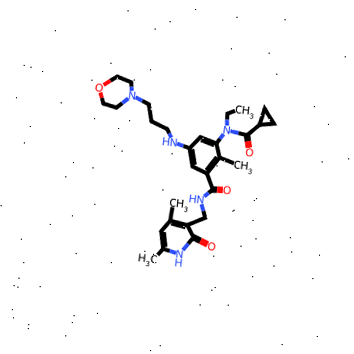 CCN(C(=O)C1CC1)c1cc(NCCCN2CCOCC2)cc(C(=O)NCc2c(C)cc(C)[nH]c2=O)c1C